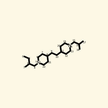 CCC(C)CN1CCC(CCC2CCN(CC(C)C)CC2)CC1